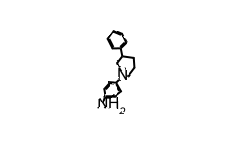 Nc1ccc(N2CCCC(c3ccccc3)C2)cc1